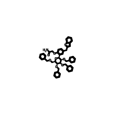 NC(=O)COc1ccc(Cc2cc3ccccc3s2)cc1[C@@H]1O[C@H](COCc2ccccc2)[C@@H](OCc2ccccc2)[C@H](OCc2ccccc2)[C@H]1OCc1ccccc1